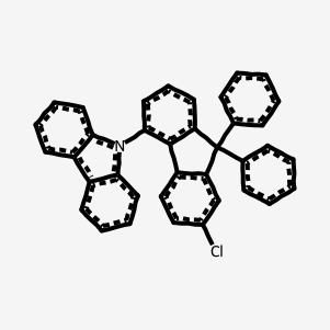 Clc1ccc2c(c1)C(c1ccccc1)(c1ccccc1)c1cccc(-n3c4ccccc4c4ccccc43)c1-2